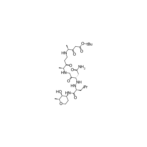 CC(C)C[C@H](NN[C@@H](CC(N)=O)C(=O)CN[C@@H](C)C(=O)CCN[C@@H](C)C(=O)CC(=O)OC(C)(C)C)C(=O)N[C@H]1CCO[C@@H](C)[C@H]1O